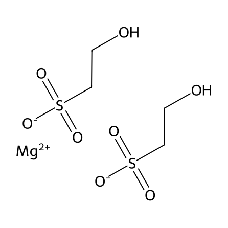 O=S(=O)([O-])CCO.O=S(=O)([O-])CCO.[Mg+2]